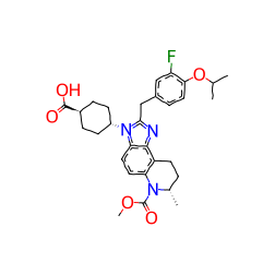 COC(=O)N1c2ccc3c(nc(Cc4ccc(OC(C)C)c(F)c4)n3[C@H]3CC[C@H](C(=O)O)CC3)c2CC[C@@H]1C